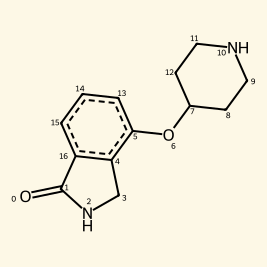 O=C1NCc2c(OC3CCNCC3)cccc21